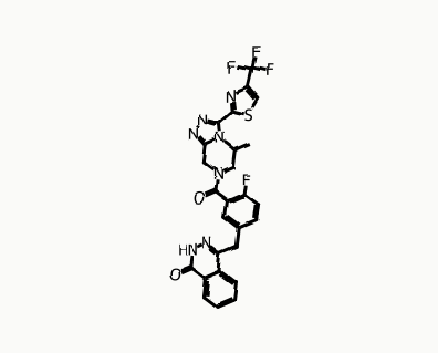 CC1CN(C(=O)c2cc(Cc3n[nH]c(=O)c4ccccc34)ccc2F)Cc2nnc(-c3nc(C(F)(F)F)cs3)n21